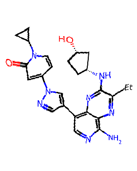 CCc1nc2c(N)ncc(-c3cnn(-c4ccn(C5CC5)c(=O)c4)c3)c2nc1N[C@@H]1CC[C@H](O)C1